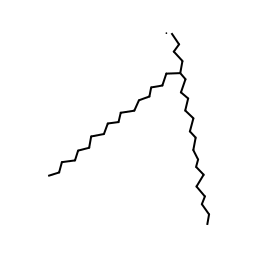 [CH2]CCCC(CCCCCCCCCCCCCCCC)CCCCCCCCCCCCCCCCC